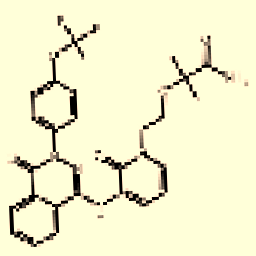 CC(C)(OCCn1cccc(Nc2nn(-c3ccc(OC(F)(F)F)cc3)c(=O)c3ccccc23)c1=O)C(N)=O